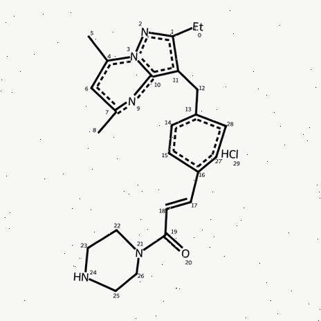 CCc1nn2c(C)cc(C)nc2c1Cc1ccc(C=CC(=O)N2CCNCC2)cc1.Cl